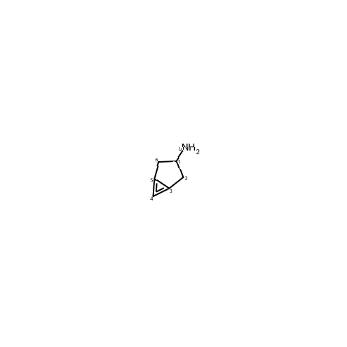 NC1CC2=C=C2C1